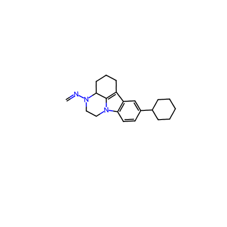 C=NN1CCn2c3c(c4cc(C5CCCCC5)ccc42)CCCC31